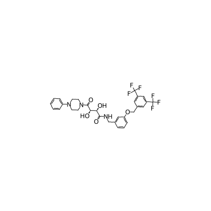 O=C(NCc1cccc(OCc2cc(C(F)(F)F)cc(C(F)(F)F)c2)c1)[C@H](O)[C@@H](O)C(=O)N1CCN(c2ccccc2)CC1